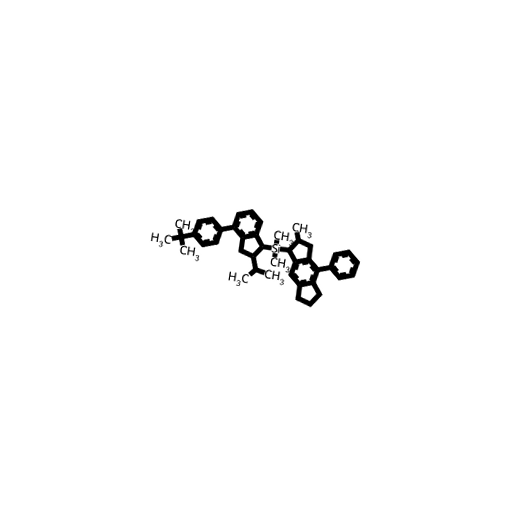 CC(C)C1Cc2c(-c3ccc(C(C)(C)C)cc3)cccc2C1[Si](C)(C)C1c2cc3c(c(-c4ccccc4)c2CC1C)CCC3